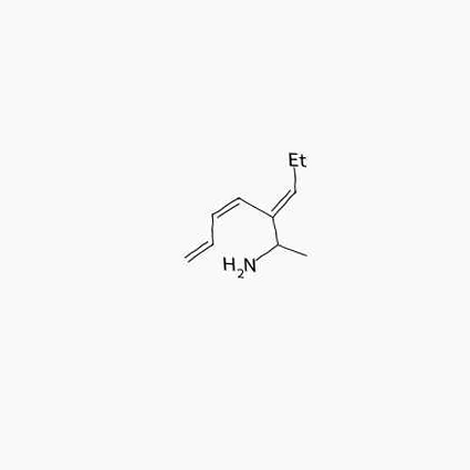 C=C/C=C\C(=C/CC)C(C)N